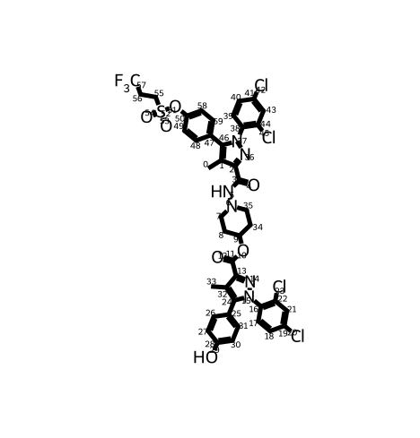 Cc1c(C(=O)NN2CCC(OC(=O)c3nn(-c4ccc(Cl)cc4Cl)c(-c4ccc(O)cc4)c3C)CC2)nn(-c2ccc(Cl)cc2Cl)c1-c1ccc(OS(=O)(=O)CCC(F)(F)F)cc1